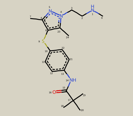 CNCCn1nc(C)c(Sc2ccc(NC(=O)C(C)(C)C)cc2)c1C